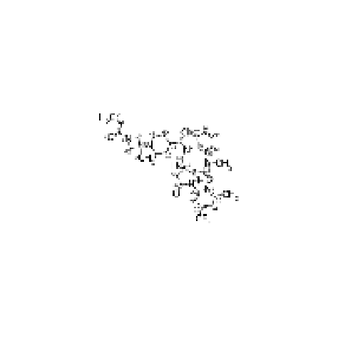 C=CC(=O)N1CC(C)(N2CCC(CN3C[C@H]4CC(=O)N(c5cc(C(F)(F)F)cc(C)n5)[C@@H]4C(=O)N(C)c4cccc(Cl)c43)CC2)C1